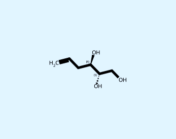 C=CC[C@@H](O)[C@@H](O)CO